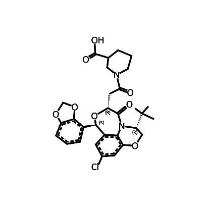 CC(C)(C)[C@@H]1COc2cc(Cl)cc3c2N1C(=O)[C@@H](CC(=O)N1CCCC(C(=O)O)C1)O[C@@H]3c1cccc2c1OCO2